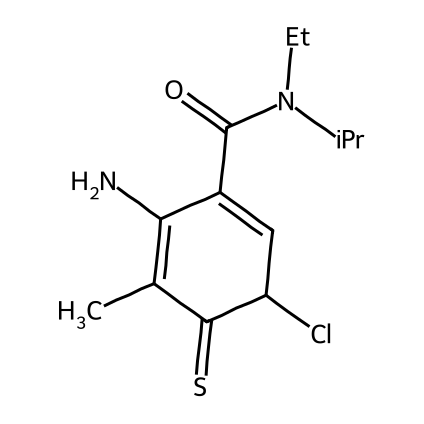 CCN(C(=O)C1=CC(Cl)C(=S)C(C)=C1N)C(C)C